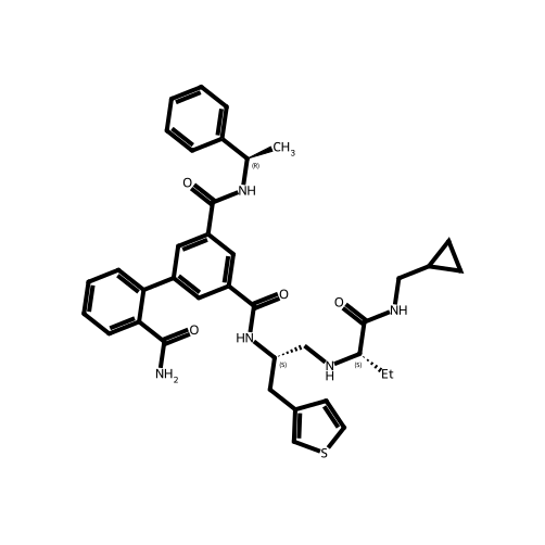 CC[C@H](NC[C@H](Cc1ccsc1)NC(=O)c1cc(C(=O)N[C@H](C)c2ccccc2)cc(-c2ccccc2C(N)=O)c1)C(=O)NCC1CC1